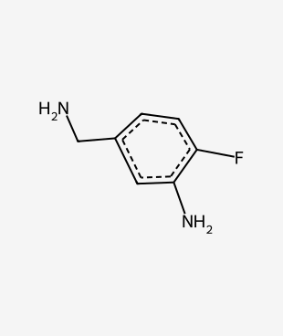 NCc1ccc(F)c(N)c1